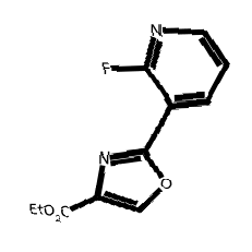 CCOC(=O)c1coc(-c2cccnc2F)n1